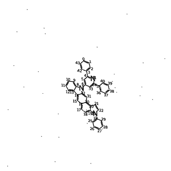 c1ccc(-c2cc(-n3c4ccccc4c4cc5ccc6c(ccn6-c6ccccc6)c5cc43)cc(-c3ccccc3)n2)cc1